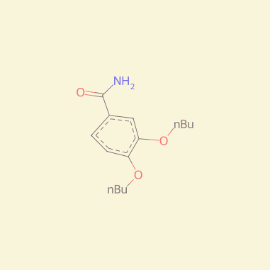 CCCCOc1ccc(C(N)=O)cc1OCCCC